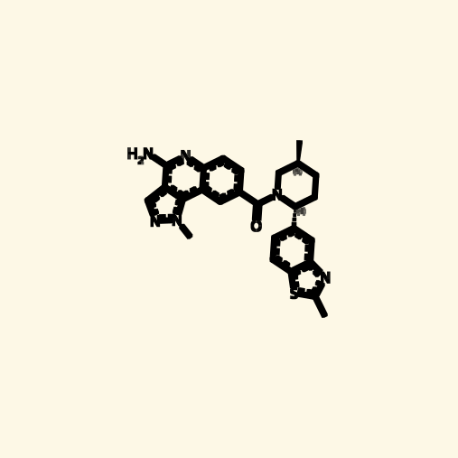 Cc1nc2cc([C@H]3CC[C@H](C)CN3C(=O)c3ccc4nc(N)c5cnn(C)c5c4c3)ccc2s1